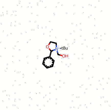 CC(C)(C)[N@+]1(CO)CCOC1c1ccccc1